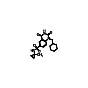 CC1(NS(=O)(=O)c2ccc3c(c2)c(=O)[nH]c(=O)n3CC2CCCCC2)CC1